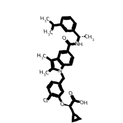 Cc1c(C)n(Cc2ccc(Cl)c(O[C@@H](C(=O)O)C3CC3)c2)c2ccc(C(=O)N[C@@H](C)c3cccc(C(C)C)c3)cc12